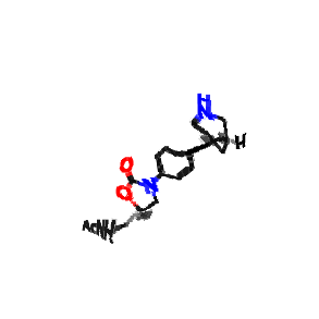 CC(=O)NC[C@H]1CN(c2ccc([C@@]34CNC[C@H]3C4)cc2)C(=O)O1